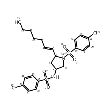 O=S(=O)(NC1CC(C=CCCCCO)N(S(=O)(=O)c2ccc(Cl)cc2)C1)c1ccc(Cl)cc1